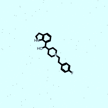 OC(c1cccc2c1NCC2)C1CCN(CCc2ccc(F)cc2)CC1